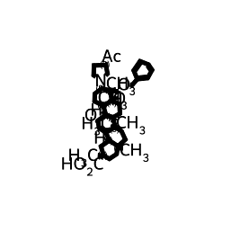 CC(=O)[C@@H]1CCN([C@H]2CC[C@@]3(C)[C@@H](CC[C@]4(C)[C@@H]3C(=O)C=C3[C@@H]5C[C@@](C)(C(=O)O)CC[C@]5(C)CC[C@]34C)[C@]2(C)C(=O)OCc2ccccc2)C1